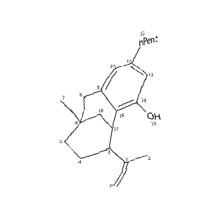 C=C(C)C1CCC2(C)Cc3cc(CCCCC)cc(O)c3C1C2